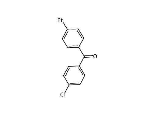 CCc1ccc(C(=O)c2ccc(Cl)cc2)cc1